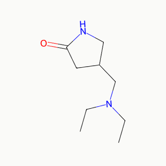 CCN(CC)CC1CNC(=O)C1